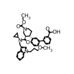 CCOC(=O)N1CC[C@H](c2cccc(-c3cccc(C(=O)O)c3)c2)[C@@H](C(=O)N(Cc2cn(CCCOC)c3ccccc23)C2CC2)C1